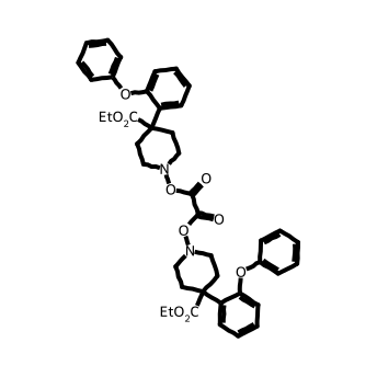 CCOC(=O)C1(c2ccccc2Oc2ccccc2)CCN(OC(=O)C(=O)ON2CCC(C(=O)OCC)(c3ccccc3Oc3ccccc3)CC2)CC1